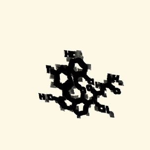 CC1=CN2CC=C(N(C)C(=O)CNC(N)=O)C(OCc3c(Cl)cccc3Cl)=C2N1c1cccc(F)c1.Cl